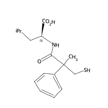 CC(C)C[C@H](NC(=O)C(C)(CS)c1ccccc1)C(=O)O